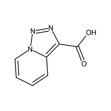 O=C(O)c1nnn2ccccc12